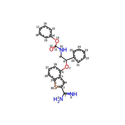 N=C(N)c1cc2c(OC(CNC(=O)Oc3ccccc3)c3ccccc3)cccc2s1